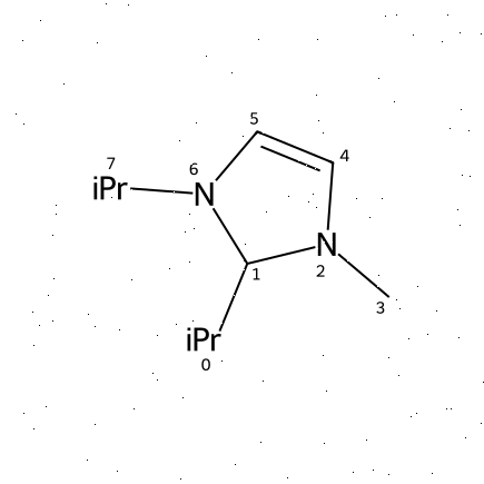 CC(C)C1N(C)C=CN1C(C)C